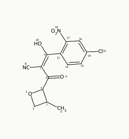 CC1COC1C(=O)/C(C#N)=C(/O)c1ccc(Cl)cc1[N+](=O)[O-]